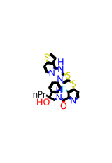 CCCC(O)(CNC(=O)c1nccc(Sc2cnc(Nc3nccc4sccc34)s2)c1F)c1ccccc1